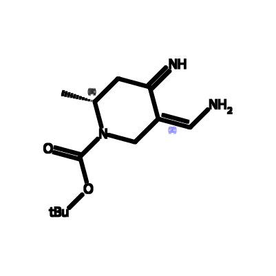 C[C@@H]1CC(=N)/C(=C\N)CN1C(=O)OC(C)(C)C